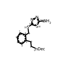 CCCCCCCCCCCCc1ccccc1CSc1nnc(N)s1